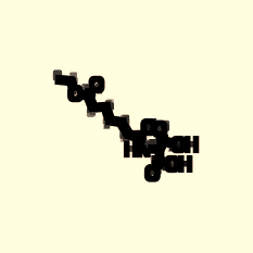 CCOC(=O)CCCCCC(=O)NC(C(=O)O)C(=O)O